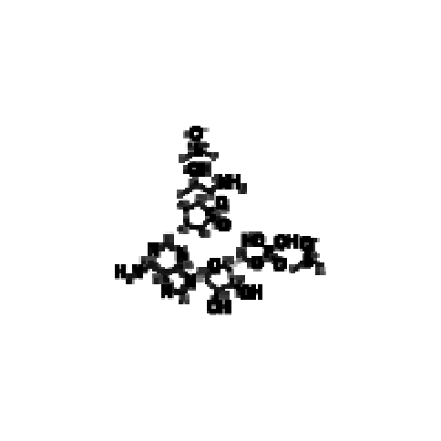 CC(O)CN.C[S+](C)[O-].C[S+](C)[O-].Nc1ncnc2c1ncn2[C@@H]1O[C@H](COP(=O)(O)O)[C@@H](O)[C@H]1O.O=S1(=O)CCCC1